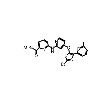 CCc1nc(-c2cccc(C)n2)c(Oc2ccnc(Nc3cccc(C(=O)NC)n3)c2)s1